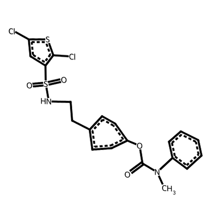 CN(C(=O)Oc1ccc(CCNS(=O)(=O)c2cc(Cl)sc2Cl)cc1)c1ccccc1